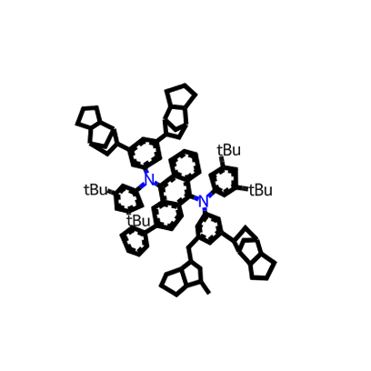 CC1CC(Cc2cc(C3CC4CC3C3CCCC43)cc(N(c3cc(C(C)(C)C)cc(C(C)(C)C)c3)c3c4ccccc4c(N(c4cc(C5CC6CC5C5CCCC65)cc(C5CC6CC5C5CCCC65)c4)c4cc(C(C)(C)C)cc(C(C)(C)C)c4)c4cc(-c5ccccc5)ccc34)c2)C2CCCC12